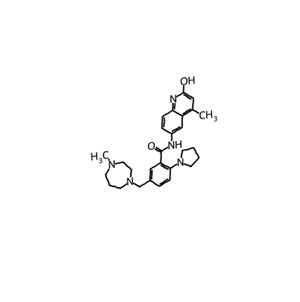 Cc1cc(O)nc2ccc(NC(=O)c3cc(CN4CCCN(C)CC4)ccc3N3CCCC3)cc12